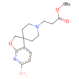 Bc1ccc2c(n1)OCC21CCN(CCC(=O)OC(C)(C)C)CC1